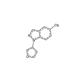 N#Cc1ccc2c(cnn2-c2ccoc2)c1